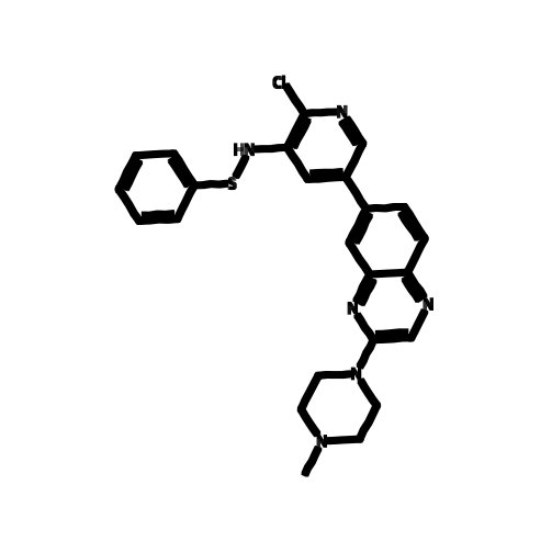 CN1CCN(c2cnc3ccc(-c4cnc(Cl)c(NSc5ccccc5)c4)cc3n2)CC1